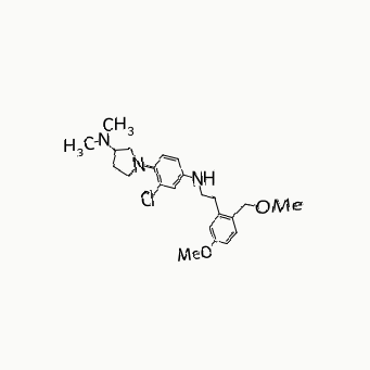 COCc1ccc(OC)cc1CCNc1ccc(N2CCC(N(C)C)C2)c(Cl)c1